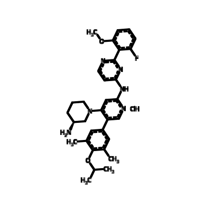 COc1cccc(F)c1-c1nccc(Nc2cc(N3CCC[C@H](N)C3)c(-c3cc(C)c(OC(C)C)c(C)c3)cn2)n1.Cl